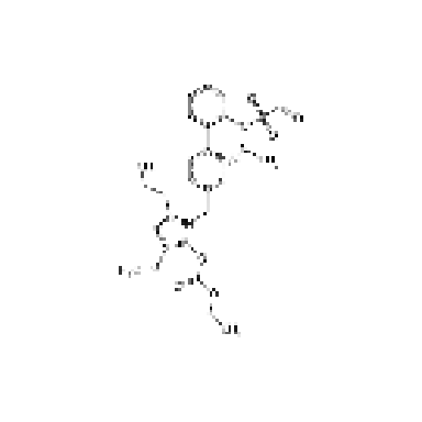 CCCc1nc(SC)c(OC(=O)OCC)n1Cc1ccc(-c2ccccc2N(N(C)C)S(=O)(=O)C=O)cc1